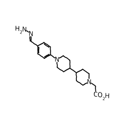 NN=Cc1ccc(N2CCC(C3CCN(CC(=O)O)CC3)CC2)cc1